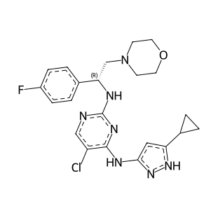 Fc1ccc([C@H](CN2CCOCC2)Nc2ncc(Cl)c(Nc3cc(C4CC4)[nH]n3)n2)cc1